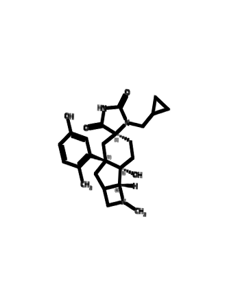 Cc1ccc(O)cc1[C@]12CC3CN(C)[C@H]3[C@]1(O)CC[C@]1(C2)C(=O)NC(=O)N1CC1CC1